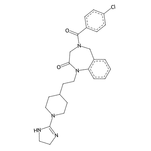 O=C(c1ccc(Cl)cc1)N1CC(=O)N(CCC2CCN(C3=NCCN3)CC2)c2ccccc2C1